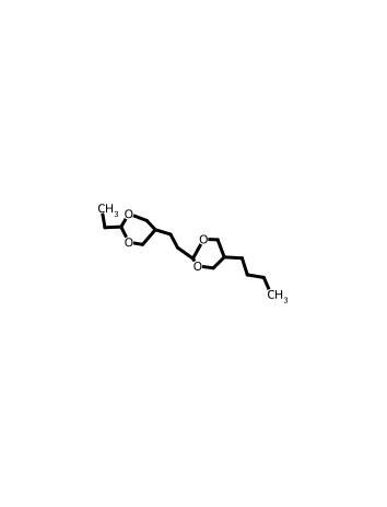 CCCCC1COC(CCC2COC(CC)OC2)OC1